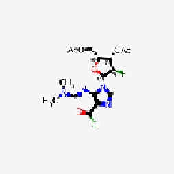 CC(=O)OC[C@H]1O[C@@H](n2cnc(C(=O)Cl)c2N=CN(C)C)[C@H](F)[C@@H]1OC(C)=O